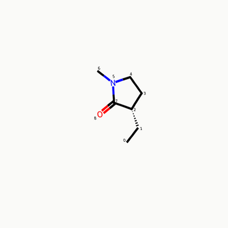 CC[C@H]1CCN(C)C1=O